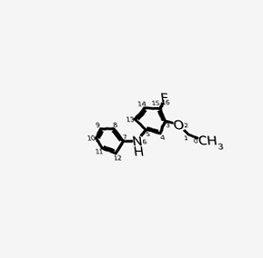 CCOc1cc(Nc2cc[c]cc2)ccc1F